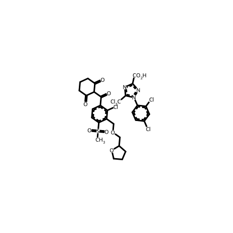 CS(=O)(=O)c1ccc(C(=O)C2C(=O)CCCC2=O)c(Cl)c1COCC1CCCO1.O=C(O)c1nc(C(Cl)(Cl)Cl)n(-c2ccc(Cl)cc2Cl)n1